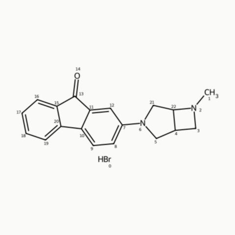 Br.CN1CC2CN(c3ccc4c(c3)C(=O)c3ccccc3-4)CC21